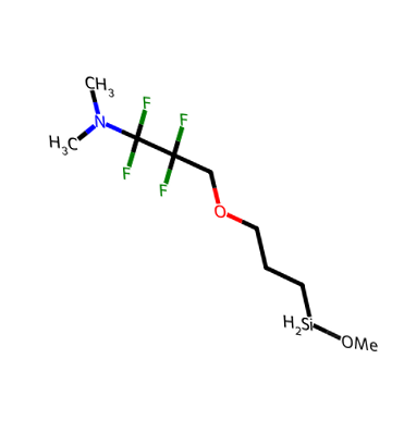 CO[SiH2]CCCOCC(F)(F)C(F)(F)N(C)C